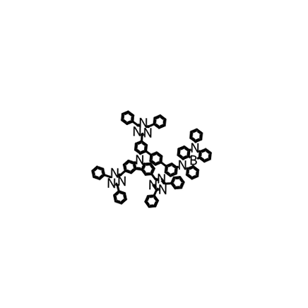 c1ccc(-c2nc(-c3ccccc3)nc(-c3ccc(-n4c5ccc(-c6nc(-c7ccccc7)nc(-c7ccccc7)n6)cc5c5cc(-c6nc(-c7ccccc7)nc(-c7ccccc7)n6)ccc54)c(-c4ccc(-c5cccc(N6c7ccccc7B7c8ccccc8N(c8ccccc8)c8cccc6c87)c5)cc4)c3)n2)cc1